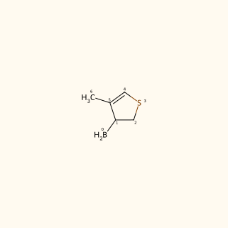 BC1CSC=C1C